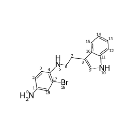 Nc1ccc(NCCc2c[nH]c3ccccc23)c(Br)c1